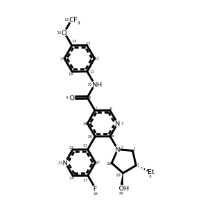 CC[C@H]1CN(c2ncc(C(=O)Nc3ccc(OC(F)(F)F)cc3)cc2-c2cncc(F)c2)C[C@@H]1O